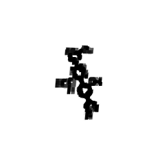 CCC(C)C1CN(c2ncc(-c3ccc(-c4cn[nH]c4)cc3O)nn2)CCN1.Cl.Cl